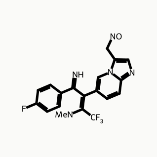 CN/C(=C(\C(=N)c1ccc(F)cc1)c1ccc2ncc(CN=O)n2c1)C(F)(F)F